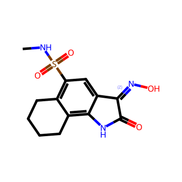 CNS(=O)(=O)c1cc2c(c3c1CCCC3)NC(=O)/C2=N\O